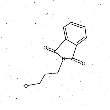 [O]CCCN1C(=O)c2ccccc2C1=O